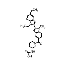 CCn1c(-c2nc3cc(C(=O)N4CCCC(NC(=O)O)C4)ccc3n2C)cc2cc(OC)cnc21